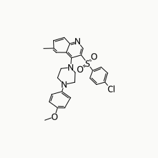 COc1ccc(N2CCN(c3c(S(=O)(=O)c4ccc(Cl)cc4)cnc4ccc(C)cc34)CC2)cc1